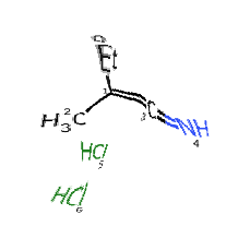 CCC(C)=C=N.Cl.Cl